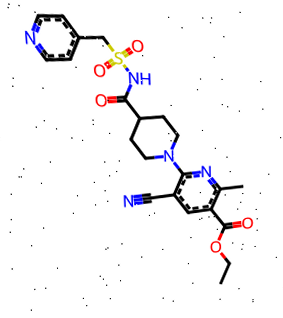 CCOC(=O)c1cc(C#N)c(N2CCC(C(=O)NS(=O)(=O)Cc3ccncc3)CC2)nc1C